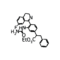 CCOC(=O)C(Cc1ccccc1)c1ccc(C2=NCCc3ccc(F)cc32)c(NC(N)=O)c1